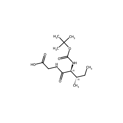 CC[C@H](C)[C@H](NC(=O)OC(C)(C)C)C(=O)NCC(=O)O